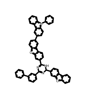 c1ccc(-c2cccc(C3=NC(c4ccc5c(c4)oc4ccccc45)NC(c4ccc5c(c4)oc4ccc(-c6ccc7c(c6)c6ccccc6n7-c6ccccc6)cc45)=N3)c2)cc1